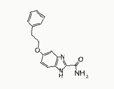 NC(=O)c1nc2cc(OCCc3ccccc3)ccc2[nH]1